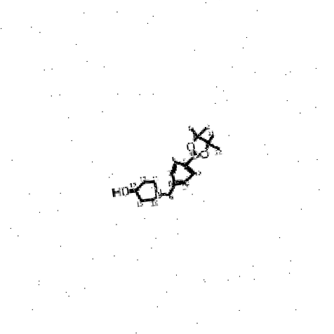 CC1(C)OB(c2ccc(CN3CCC(O)CC3)cc2)OC1(C)C